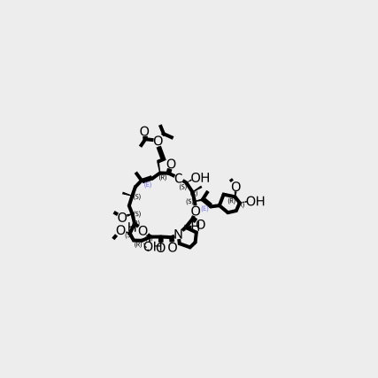 C=CC[C@@H]1/C=C(\C)C[C@H](C)C[C@H](OC)[C@H]2O[C@@](O)(C(=O)C(=O)N3CCCC[C@H]3C(=O)O[C@H](/C(C)=C/C3CC[C@@H](O)[C@H](OC)C3)[C@H](C)[C@@H](O)CC1=O)[C@H](C)C[C@@H]2OC.CC(=O)OC(C)C